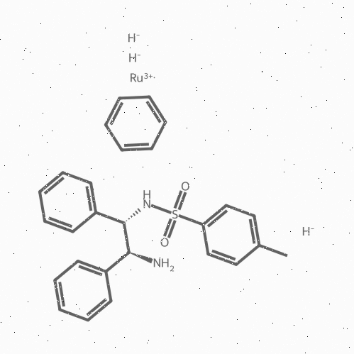 Cc1ccc(S(=O)(=O)N[C@@H](c2ccccc2)[C@@H](N)c2ccccc2)cc1.[H-].[H-].[H-].[Ru+3].c1ccccc1